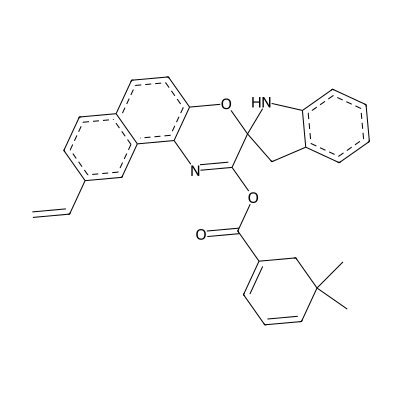 C=Cc1ccc2ccc3c(c2c1)N=C(OC(=O)C1=CC=CC(C)(C)C1)C1(Cc2ccccc2N1)O3